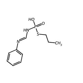 CCCSP(=O)(O)NC=Nc1ccccc1